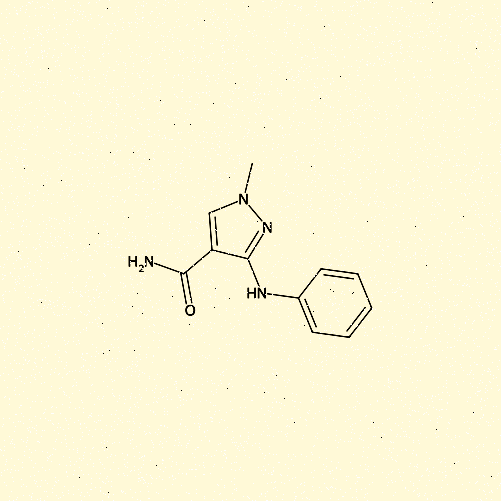 Cn1cc(C(N)=O)c(Nc2ccccc2)n1